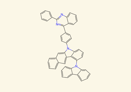 c1ccc(-c2nc(-c3ccc(-n4c5cc6ccccc6cc5c5c(-n6c7ccccc7c7ccccc76)cccc54)cc3)c3ccccc3n2)cc1